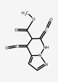 COC(=O)C1C(=C=O)Nn2nccc2C1=C=O